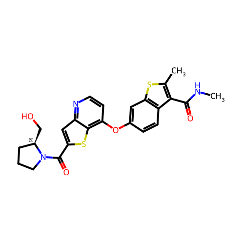 CNC(=O)c1c(C)sc2cc(Oc3ccnc4cc(C(=O)N5CCC[C@H]5CO)sc34)ccc12